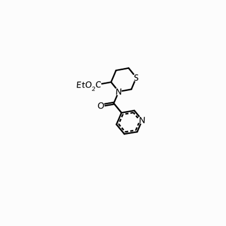 CCOC(=O)C1CCSCN1C(=O)c1cccnc1